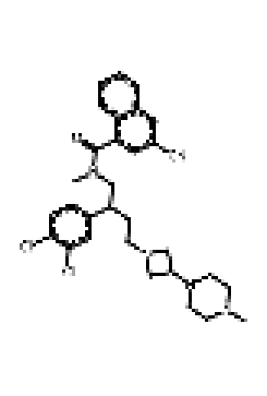 CN1CCN(C2CN(CCC(CN(C)C(=O)c3cc(C#N)cc4ccccc34)c3ccc(Cl)c(Cl)c3)C2)CC1